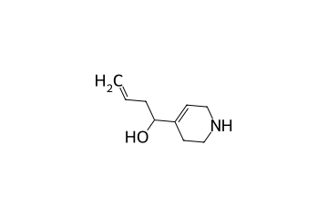 C=CCC(O)C1=CCNCC1